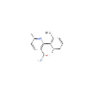 COc1cccc(C)c1-c1nc(C)ccc1C(N)=O